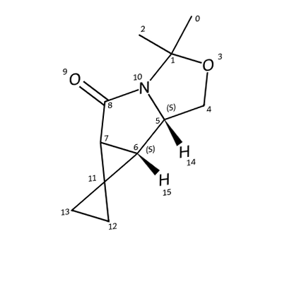 CC1(C)OC[C@@H]2[C@H]3C(C(=O)N21)C31CC1